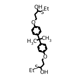 CCSC(O)CCOc1ccc(C(C)(C)c2ccc(OCCC(O)SCC)cc2)cc1